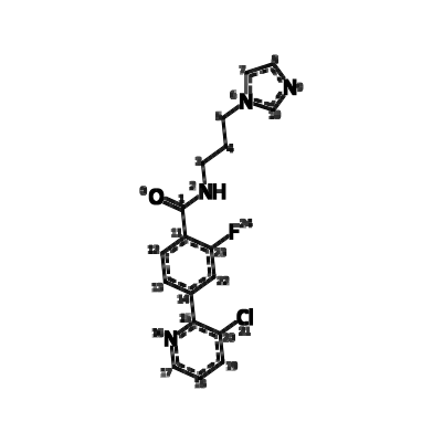 O=C(NCCCn1ccnc1)c1ccc(-c2ncccc2Cl)cc1F